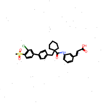 CS(=O)(=O)c1ccc(-c2ccc(CC3(C(=O)Nc4cccc(/C=C/C(=O)O)c4)CCCCC3)cc2)cc1Cl